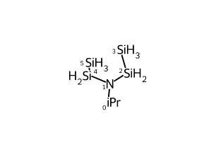 CC(C)N([SiH2][SiH3])[SiH2][SiH3]